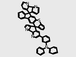 c1ccc(N(c2ccccc2)c2cccc(-c3cnc4c(c3)C3(c5ccccc5Sc5cc6c(cc53)-c3ccccc3C63c5cccnc5-c5ncccc53)c3cccnc3-4)c2)cc1